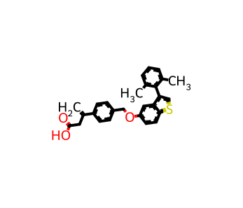 C=C(CC(=O)O)c1ccc(COc2ccc3scc(-c4c(C)cccc4C)c3c2)cc1